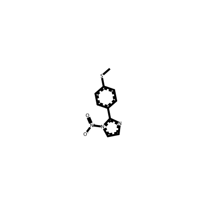 CSc1ccc(-c2nccn2[N+](=O)[O-])cc1